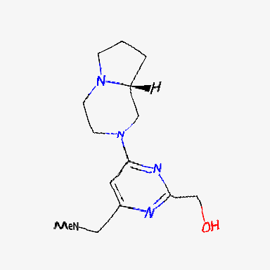 CNCc1cc(N2CCN3CCC[C@@H]3C2)nc(CO)n1